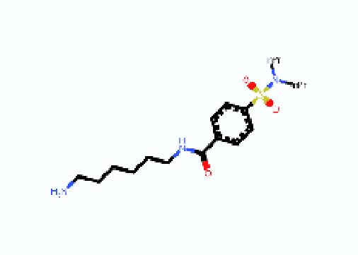 CCCN(CCC)S(=O)(=O)c1ccc(C(=O)NCCCCCCN)cc1